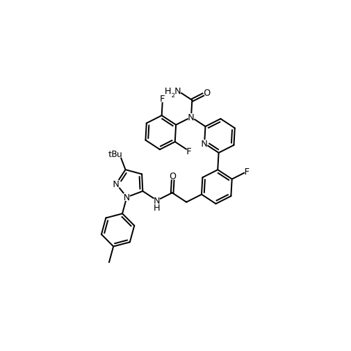 Cc1ccc(-n2nc(C(C)(C)C)cc2NC(=O)Cc2ccc(F)c(-c3cccc(N(C(N)=O)c4c(F)cccc4F)n3)c2)cc1